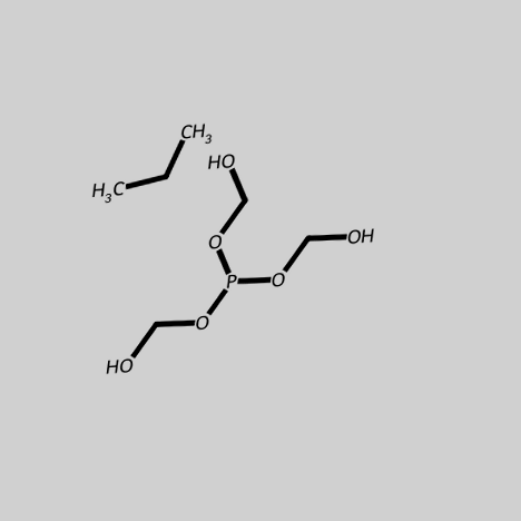 CCC.OCOP(OCO)OCO